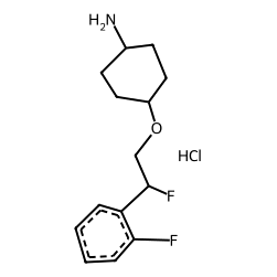 Cl.NC1CCC(OCC(F)c2ccccc2F)CC1